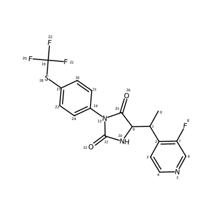 CC(c1ccncc1F)C1NC(=O)N(c2ccc(SC(F)(F)F)cc2)C1=O